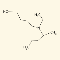 CCCC(C)N(CC)CCCCO